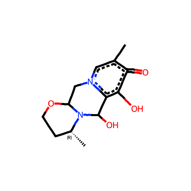 Cc1cn2c(c(O)c1=O)C(O)N1C(C2)OCC[C@H]1C